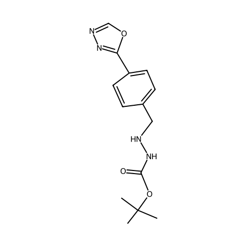 CC(C)(C)OC(=O)NNCc1ccc(-c2nnco2)cc1